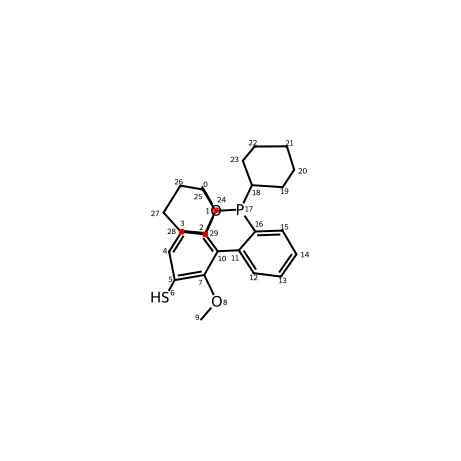 COc1ccc(S)c(OC)c1-c1ccccc1P(C1CCCCC1)C1CCCCC1